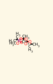 COP(=O)(OC(C)(C)OC(=O)OC(C)C)C(C)C